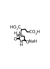 N[C@@H](CCC(=O)O)C(=O)O.O=C1CNC(=O)N1.[NaH]